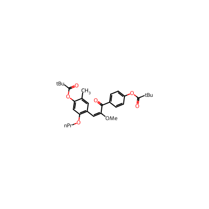 CCCOc1cc(OC(=O)C(C)(C)C)c(C)cc1C=C(OC)C(=O)c1ccc(OC(=O)C(C)(C)C)cc1